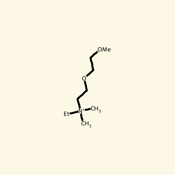 CC[N+](C)(C)CCOCCOC